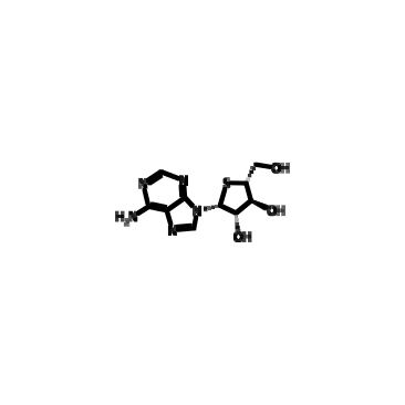 Nc1ncnc2c1ncn2[C@@H]1S[C@H](CO)[C@@H](O)[C@@H]1O